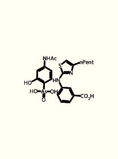 CC(=O)Nc1ccc([As](=O)(O)O)c(O)c1.CCCCCc1csc(Nc2cccc(C(=O)O)c2)n1